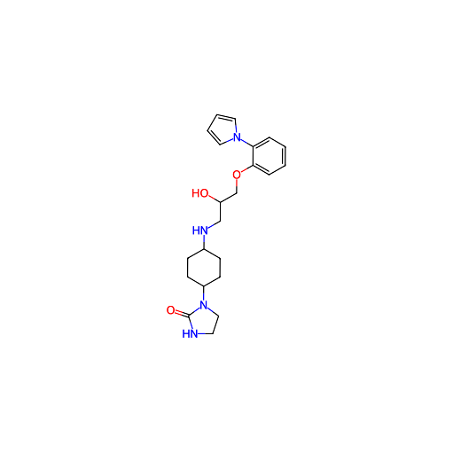 O=C1NCCN1C1CCC(NCC(O)COc2ccccc2-n2cccc2)CC1